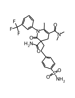 CC1=C(C(=O)N(C)C)CC(CCc2ccc(S(N)(=O)=O)cc2)(C(N)=O)C(=O)N1c1cccc(C(F)(F)F)c1